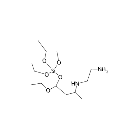 CCOC(CC(C)NCCN)O[Si](OC)(OCC)OCC